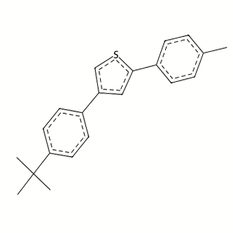 Cc1ccc(-c2cc(-c3ccc(C(C)(C)C)cc3)cs2)cc1